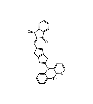 O=C1C(=CC2=CC3=C(C=C(N4c5ccccc5[Te]c5ncccc54)C3)C2)C(=O)c2ccccc21